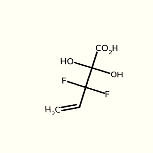 C=CC(F)(F)C(O)(O)C(=O)O